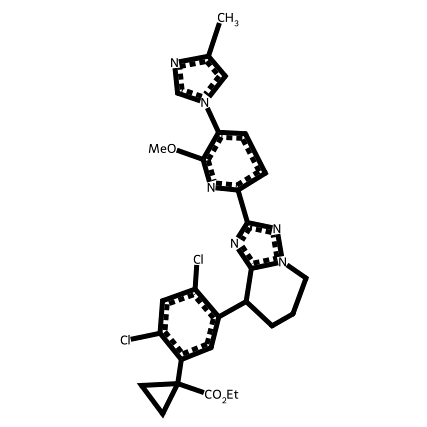 CCOC(=O)C1(c2cc(C3CCCn4nc(-c5ccc(-n6cnc(C)c6)c(OC)n5)nc43)c(Cl)cc2Cl)CC1